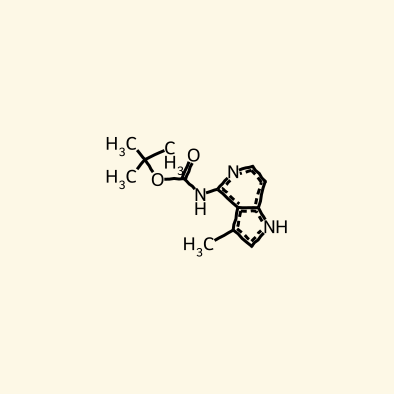 Cc1c[nH]c2ccnc(NC(=O)OC(C)(C)C)c12